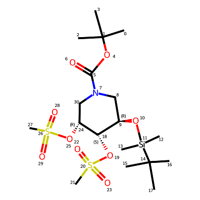 CC(C)(C)OC(=O)N1C[C@@H](O[Si](C)(C)C(C)(C)C)[C@H](OS(C)(=O)=O)[C@H](OS(C)(=O)=O)C1